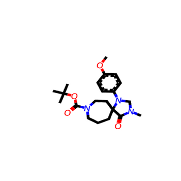 COc1ccc(N2CN(C)C(=O)C23CCCN(C(=O)OC(C)(C)C)CC3)cc1